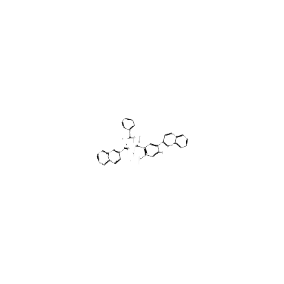 Clc1cc2oc3c4ccccc4ccc3c2cc1-c1nc(-c2ccccc2)nc(-c2ccc3ccccc3c2)n1